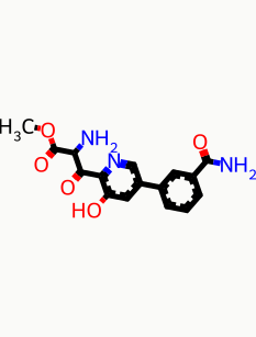 COC(=O)C(N)C(=O)c1ncc(-c2cccc(C(N)=O)c2)cc1O